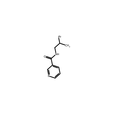 CC(C)C(C)CNC(=O)c1cccnc1